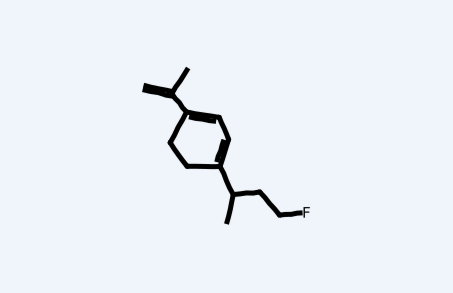 C=C(C)C1=CC=C(C(C)CCF)CC1